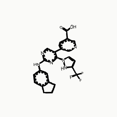 O=C(O)c1cncc(-c2cnc(Nc3ccc4c(c3)CCC4)nc2N2C=CC(C(F)(F)F)N2)c1